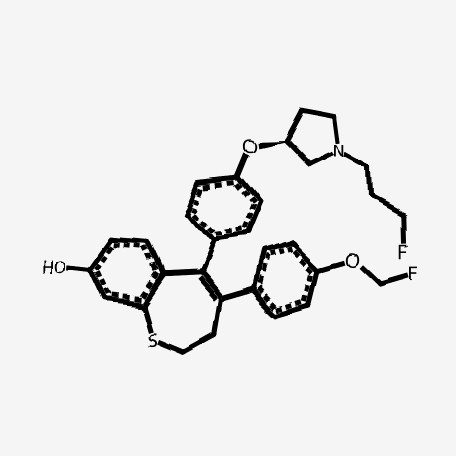 Oc1ccc2c(c1)SCCC(c1ccc(OCF)cc1)=C2c1ccc(O[C@H]2CCN(CCCF)C2)cc1